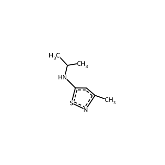 Cc1cc(NC(C)C)sn1